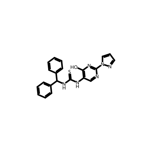 Oc1nc(-n2cccn2)ncc1NC(=S)NC(c1ccccc1)c1ccccc1